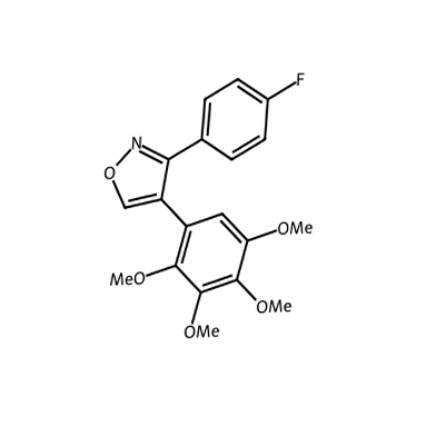 COc1cc(-c2conc2-c2ccc(F)cc2)c(OC)c(OC)c1OC